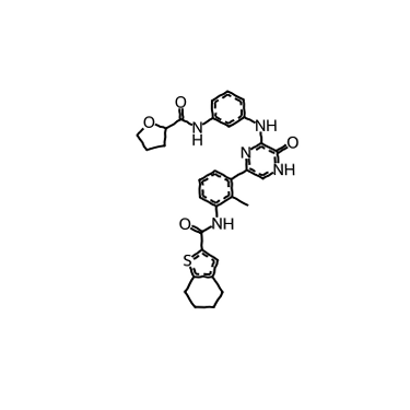 Cc1c(NC(=O)c2cc3c(s2)CCCC3)cccc1-c1c[nH]c(=O)c(Nc2cccc(NC(=O)C3CCCO3)c2)n1